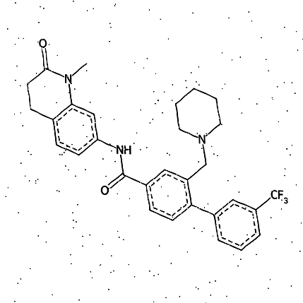 CN1C(=O)CCc2ccc(NC(=O)c3ccc(-c4cccc(C(F)(F)F)c4)c(CN4CCCCC4)c3)cc21